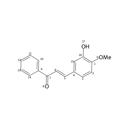 COc1ccc(C=CC(=O)c2ccccc2)cc1O